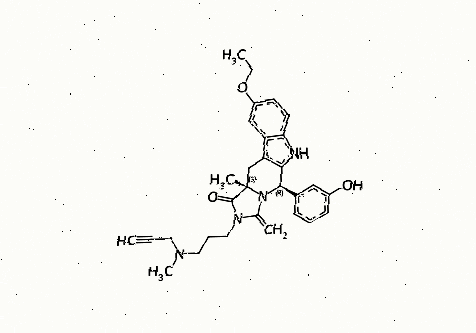 C#CCN(C)CCCN1C(=C)N2[C@H](c3cccc(O)c3)c3[nH]c4ccc(OCC)cc4c3C[C@@]2(C)C1=O